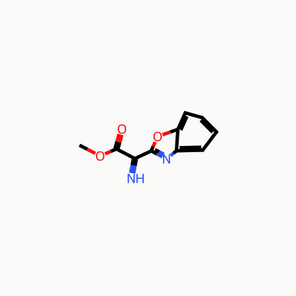 COC(=O)C(=N)c1nc2ccccc2o1